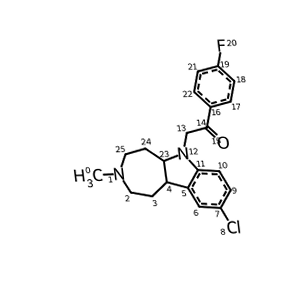 CN1CCC2c3cc(Cl)ccc3N(CC(=O)c3ccc(F)cc3)C2CC1